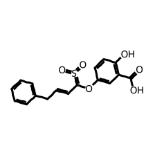 O=C(O)c1cc(OC(C=CCc2ccccc2)=S(=O)=O)ccc1O